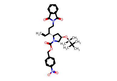 C=CC(CCN1C(=O)c2ccccc2C1=O)[C@@H]1C[C@@H](O[Si](C)(C)C(C)(C)C)CN1C(=O)OCc1ccc([N+](=O)[O-])cc1